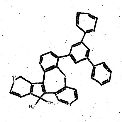 CC1(C)C2=C(CNC=C2)C2=C1c1cnccc1Sc1c2cccc1-c1cc(-c2ccccc2)cc(-c2ccccc2)c1